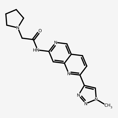 Cn1cc(-c2ccc3cnc(NC(=O)CN4CCCC4)cc3n2)nn1